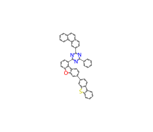 c1ccc(-c2nc(-c3ccc4ccc5ccccc5c4c3)nc(-c3cccc4oc5cc(-c6ccc7c(c6)sc6ccccc67)ccc5c34)n2)cc1